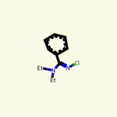 CCN(CC)/C(=N/Cl)c1ccccc1